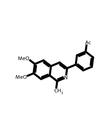 COc1cc2cc(-c3cccc(C(C)=O)c3)nc(C)c2cc1OC